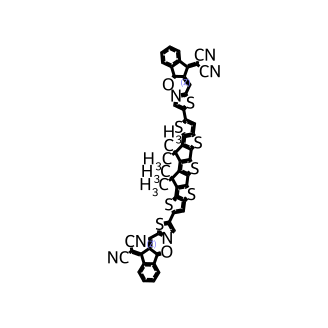 CC1(C)c2c(sc3c2C(C)(C)c2c-3sc3cc(-c4cnc(/C=C5\C(=O)c6ccccc6C5=C(C#N)C#N)s4)sc23)-c2sc3cc(-c4cnc(/C=C5\C(=O)c6ccccc6C5=C(C#N)C#N)s4)sc3c21